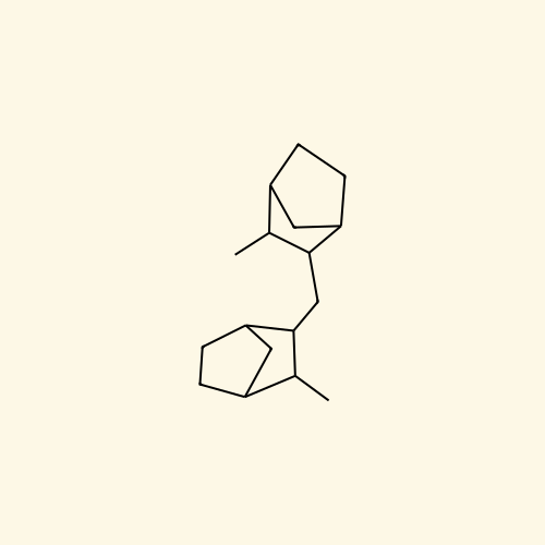 CC1C2CCC(C2)C1CC1C2CCC(C2)C1C